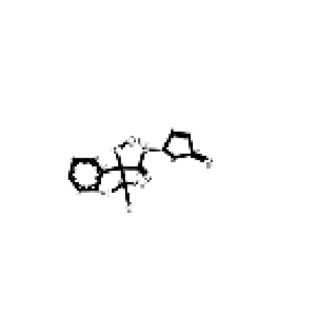 COC(C(=O)O[C@H]1C=CC(=O)C1)(c1ccccc1)C(F)(F)F